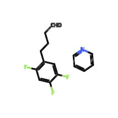 O=CCCCc1cc(F)c(F)cc1F.c1ccncc1